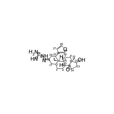 C[C@]12C(CC[C@@H]3[C@H]1CC[C@]1(C)C(O)CC4O[C@]431)CC(=NNC(=N)N)CC2c1ccoc1